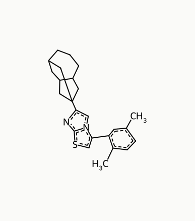 Cc1ccc(C)c(-c2csc3nc(C45CC6CCCC(C4)C(C6)C5)cn23)c1